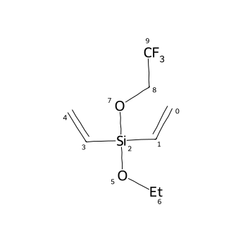 C=C[Si](C=C)(OCC)OCC(F)(F)F